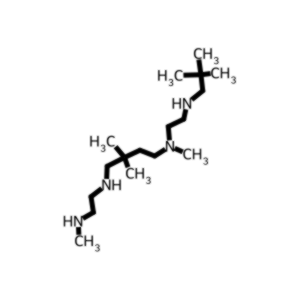 CNCCNCC(C)(C)CCN(C)CCNCC(C)(C)C